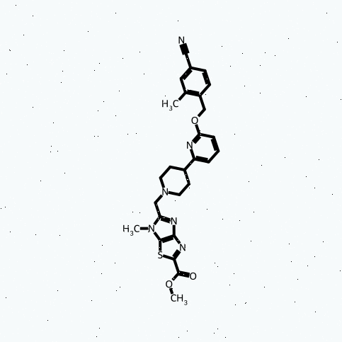 COC(=O)c1nc2nc(CN3CCC(c4cccc(OCc5ccc(C#N)cc5C)n4)CC3)n(C)c2s1